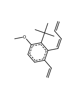 C=C/C=C\c1c(C=C)ccc(OC)c1C(C)(C)C